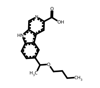 CCCCOC(C)c1ccc2[nH]c3cnc(C(=O)O)cc3c2c1